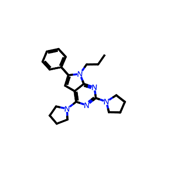 CCCn1c(-c2ccccc2)cc2c(N3CCCC3)nc(N3CCCC3)nc21